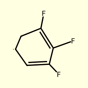 FC1=C[CH]CC(F)=C1F